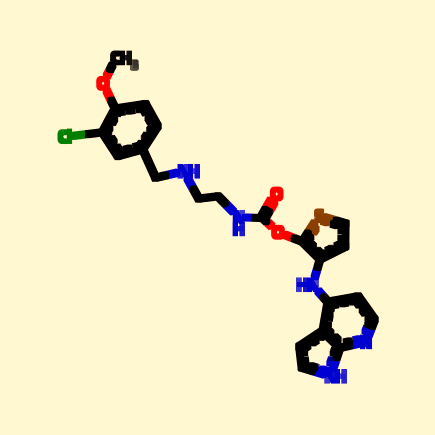 COc1ccc(CNCCNC(=O)Oc2sccc2Nc2ccnc3[nH]ccc23)cc1Cl